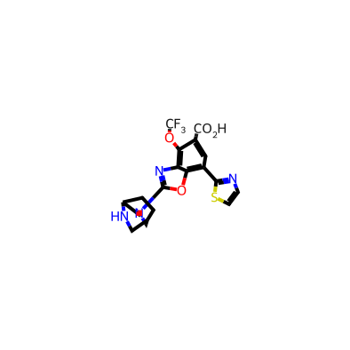 O=C(O)c1cc(-c2nccs2)c2oc(N3CC4CCC(C3)NC4)nc2c1OC(F)(F)F